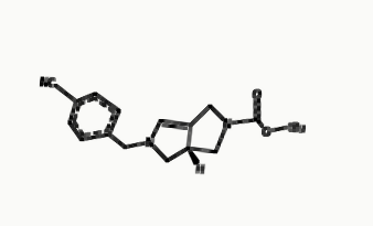 CC(C)(C)OC(=O)N1CC2=CN(Cc3ccc(C#N)cc3)C[C@H]2C1